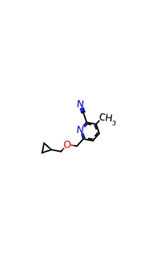 Cc1ccc(COCC2CC2)nc1C#N